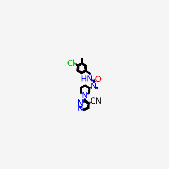 Cc1cc(CNC(=O)N(C)[C@@H]2CCCN(c3nnccc3C#N)C2)ccc1Cl